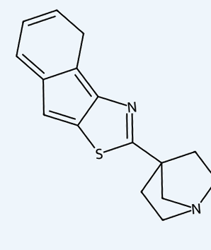 C1=CCC2=c3nc(C45CCN(CC4)C5)sc3=CC2=C1